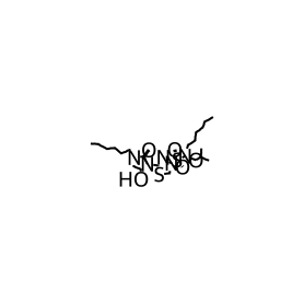 CCCCCCN1CC(O)N(C2=NN(S(=O)(=O)N(CCCCCC)OC(C)C)CS2)C1=O